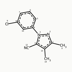 Cc1nn(-c2cccc(Cl)c2)c(C#N)c1C